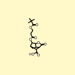 CC(C)(C)C(=O)OCCC(=O)OC1C2CC3C1OC(=O)C3C2C(=O)O